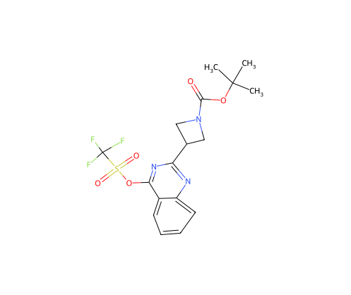 CC(C)(C)OC(=O)N1CC(c2nc(OS(=O)(=O)C(F)(F)F)c3ccccc3n2)C1